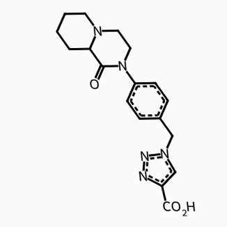 O=C(O)c1cn(Cc2ccc(N3CCN4CCCCC4C3=O)cc2)nn1